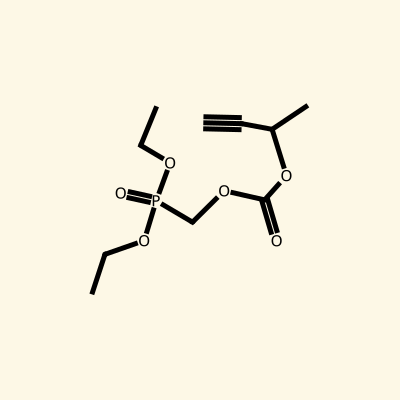 C#CC(C)OC(=O)OCP(=O)(OCC)OCC